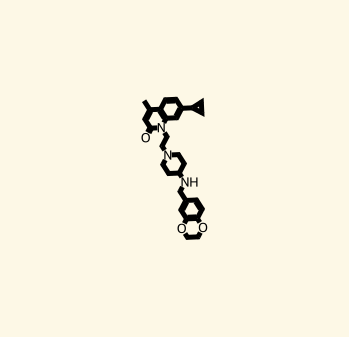 Cc1cc(=O)n(CCN2CCC(NCc3ccc4c(c3)OCCO4)CC2)c2cc(C3CC3)ccc12